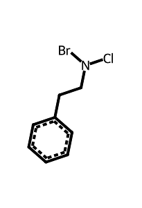 ClN(Br)CCc1ccccc1